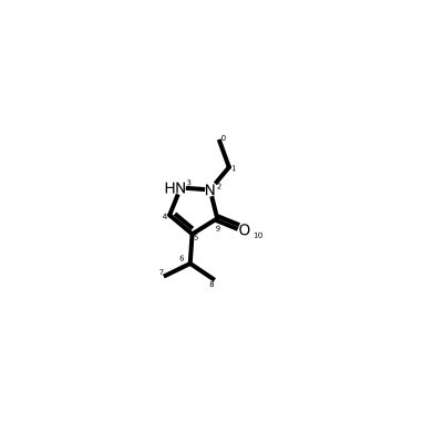 CCn1[nH]cc(C(C)C)c1=O